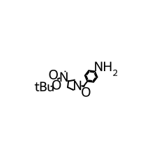 CN(C(=O)OC(C)(C)C)C1CCN(C(=O)c2ccc(N)cc2)C1